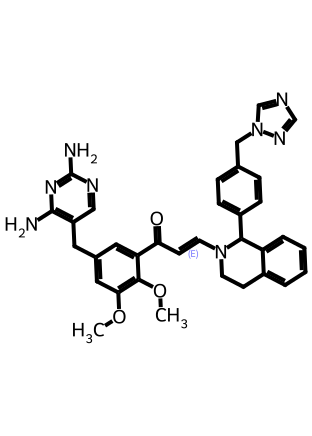 COc1cc(Cc2cnc(N)nc2N)cc(C(=O)/C=C/N2CCc3ccccc3C2c2ccc(Cn3cncn3)cc2)c1OC